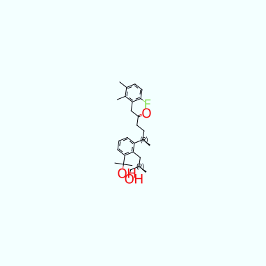 Cc1ccc(F)c(CC(=O)CC[C@@H](C)c2cccc(C(C)(C)O)c2C[C@@H](C)CO)c1C